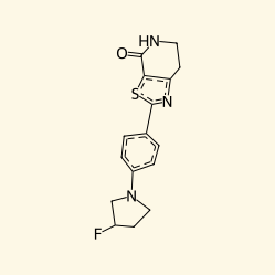 O=C1NCCc2nc(-c3ccc(N4CCC(F)C4)cc3)sc21